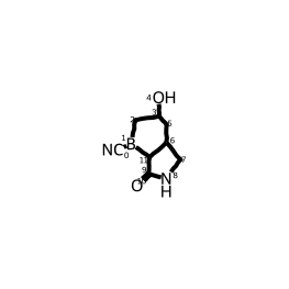 N#CB1CC(O)CC2CNC(=O)C12